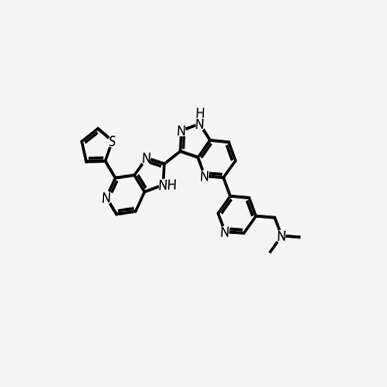 CN(C)Cc1cncc(-c2ccc3[nH]nc(-c4nc5c(-c6cccs6)nccc5[nH]4)c3n2)c1